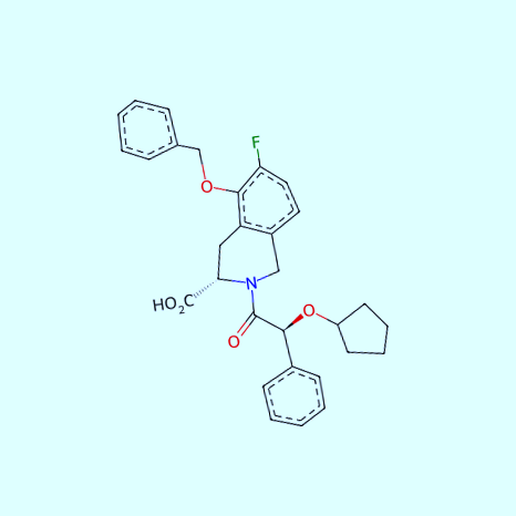 O=C(O)[C@@H]1Cc2c(ccc(F)c2OCc2ccccc2)CN1C(=O)[C@@H](OC1CCCC1)c1ccccc1